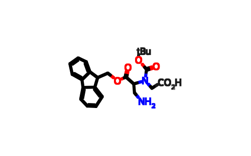 CC(C)(C)OC(=O)N(CC(=O)O)C(CN)C(=O)OCC1c2ccccc2-c2ccccc21